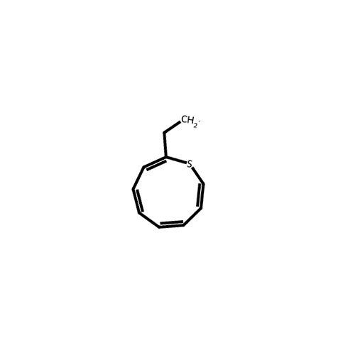 [CH2]Cc1cccccccs1